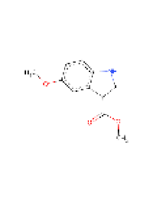 COC(=O)C1CNc2ccc(OC)cc21